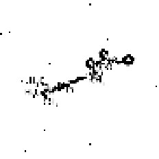 CCO[Si]1(CCCNC(=O)CCCCCN(C)C(=O)[C@@H]2CCCN2C(=O)[C@@H]2CCCN2C(=O)OCc2ccccc2)C(C)C1C